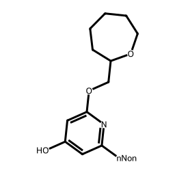 CCCCCCCCCc1cc(O)cc(OCC2CCCCCO2)n1